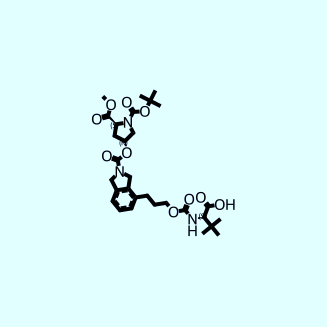 COC(=O)[C@@H]1C[C@@H](OC(=O)N2Cc3cccc(CCCOC(=O)N[C@H](C(=O)O)C(C)(C)C)c3C2)CN1C(=O)OC(C)(C)C